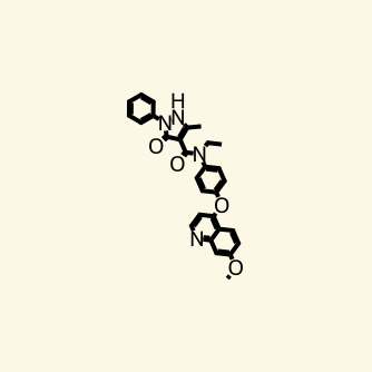 CCN(C(=O)c1c(C)[nH]n(-c2ccccc2)c1=O)c1ccc(Oc2ccnc3cc(OC)ccc23)cc1